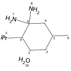 CC1CCC(C(C)C)C(N)(N)C1.O